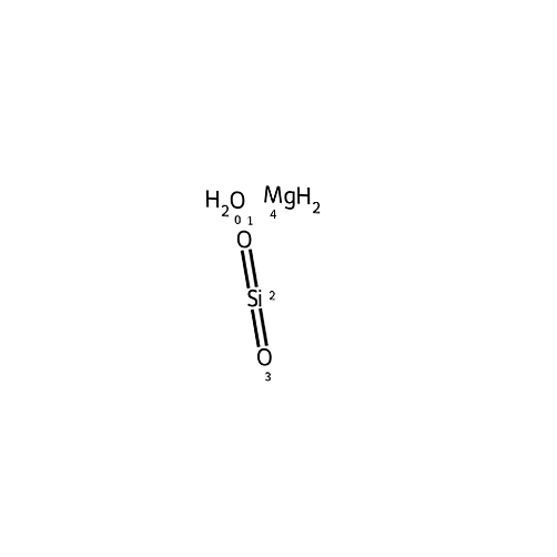 O.O=[Si]=O.[MgH2]